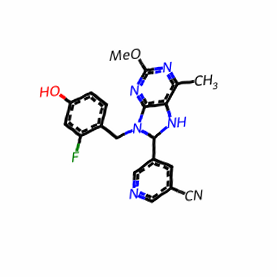 COc1nc(C)c2c(n1)N(Cc1ccc(O)cc1F)C(c1cncc(C#N)c1)N2